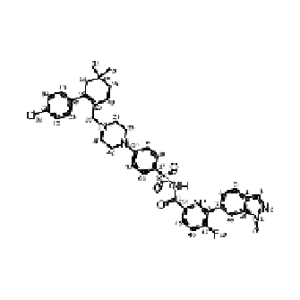 Cn1ncc2ccc(-c3nc(C(=O)NS(=O)(=O)c4ccc(N5CCN(CC6=C(c7ccc(Cl)cc7)CC(C)(C)CC6)CC5)cc4)ccc3F)cc21